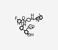 Cc1cccc2nc(CNC3CCC(NC(=O)c4cc(F)cnc4Oc4cccc(-c5ccc(O)cc5CN5CCOCC5)c4)CC3)cn12